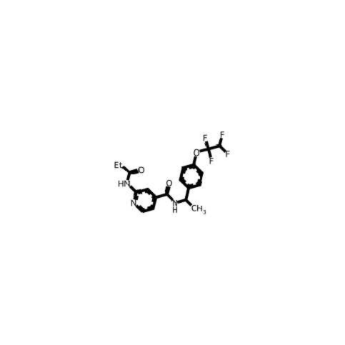 CCC(=O)Nc1cc(C(=O)NC(C)c2ccc(OC(F)(F)C(F)F)cc2)ccn1